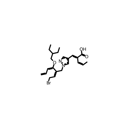 C=C/C=C(OCC(CC)CC)\C(=C/CBr)Cn1cc(/C=C(\C=C/C)C(=O)O)cn1